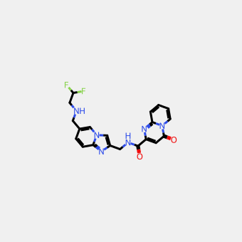 O=C(NCc1cn2cc(CNCC(F)F)ccc2n1)c1cc(=O)n2ccccc2n1